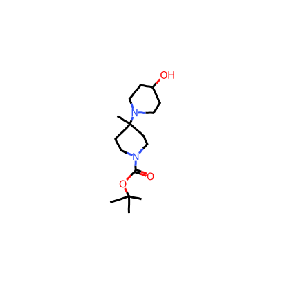 CC(C)(C)OC(=O)N1CCC(C)(N2CCC(O)CC2)CC1